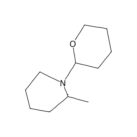 C[C]1CCCCN1C1CCCCO1